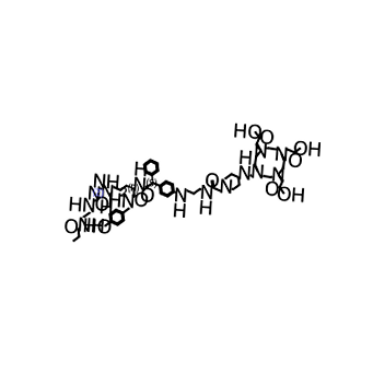 CCC(=O)NCCNC(=O)/N=C(/N)NCCC[C@@H](NC(=O)[C@@H](c1ccccc1)c1ccc(NCCCNC(=O)CN2CCC(NCN3CCN(CC(=O)O)CCN(CC(=O)O)CCN(CC(=O)O)CC3)CC2)cc1)C(=O)NCc1ccc(O)cc1